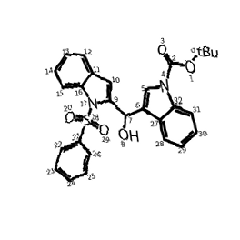 CC(C)(C)OC(=O)n1cc(C(O)c2cc3ccccc3n2S(=O)(=O)c2ccccc2)c2ccccc21